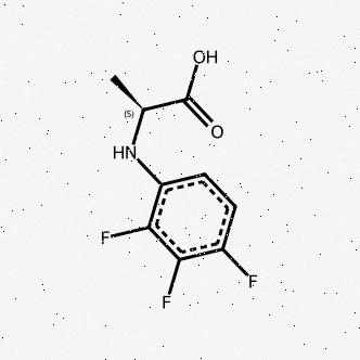 C[C@H](Nc1ccc(F)c(F)c1F)C(=O)O